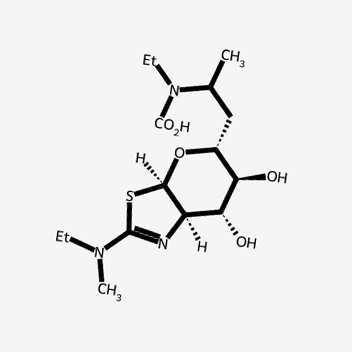 CCN(C)C1=N[C@@H]2[C@@H](O)[C@H](O)[C@@H](CC(C)N(CC)C(=O)O)O[C@@H]2S1